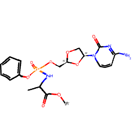 CC(C)OC(=O)C(C)NP(=O)(OC[C@H]1OC[C@@H](n2ccc(N)nc2=O)O1)Oc1ccccc1